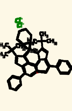 CC(C)(C)C1=Cc2c(-c3ccccc3)cccc2[CH]1[Zr+2]1([CH]2C(C(C)(C)C)=Cc3c(-c4ccccc4)cccc32)[CH]2CCCC[CH]21.[Cl-].[Cl-]